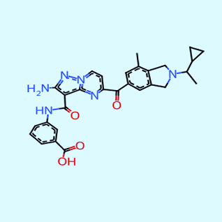 Cc1cc(C(=O)c2ccn3nc(N)c(C(=O)Nc4cccc(C(=O)O)c4)c3n2)cc2c1CN(C(C)C1CC1)C2